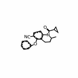 CC1CCc2c(ccc(C#N)c2Oc2ccccc2)N1C(=O)C1CC1